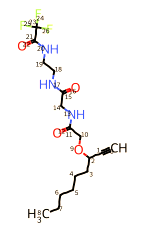 C#CC(CCCCCC)OCC(=O)NCC(=O)NCCNC(=O)C(F)(F)F